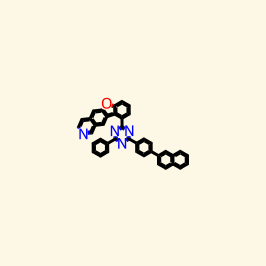 c1ccc(-c2nc(-c3ccc(-c4ccc5ccccc5c4)cc3)nc(-c3cccc4oc5cc6ccncc6cc5c34)n2)cc1